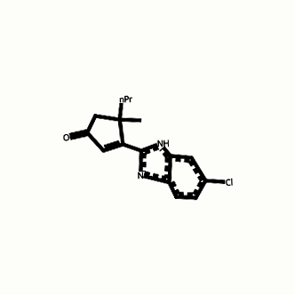 CCCC1(C)CC(=O)C=C1c1nc2ccc(Cl)cc2[nH]1